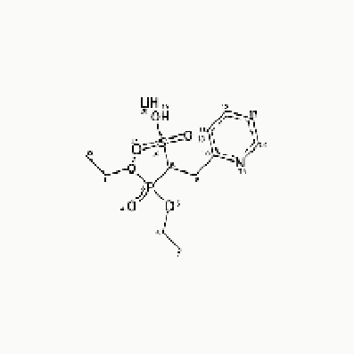 CCOP(=O)(OCC)C(Cc1ccccn1)S(=O)(=O)O.[LiH]